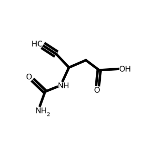 C#CC(CC(=O)O)NC(N)=O